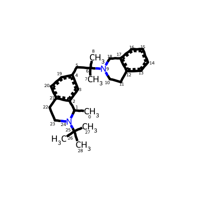 CC1c2cc(CC(C)(C)N3CCc4ccccc4C3)ccc2CCN1C(C)(C)C